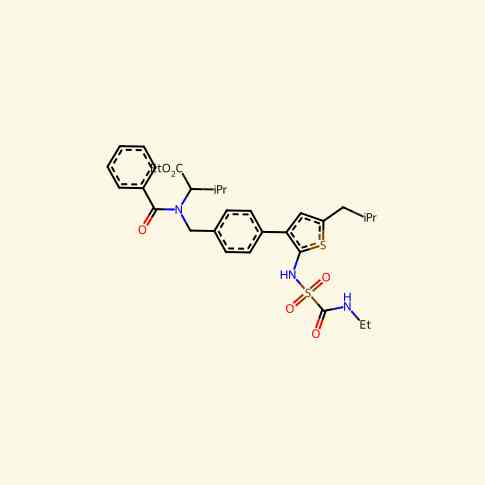 CCNC(=O)S(=O)(=O)Nc1sc(CC(C)C)cc1-c1ccc(CN(C(=O)c2ccccc2)C(C(=O)OCC)C(C)C)cc1